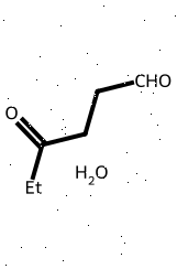 CCC(=O)CCC=O.O